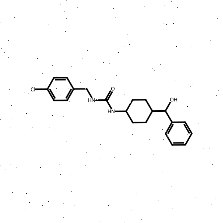 O=C(NCc1ccc(Cl)cc1)NC1CCC(C(O)c2ccccc2)CC1